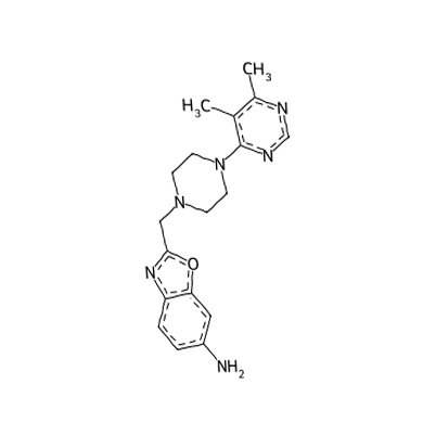 Cc1ncnc(N2CCN(Cc3nc4ccc(N)cc4o3)CC2)c1C